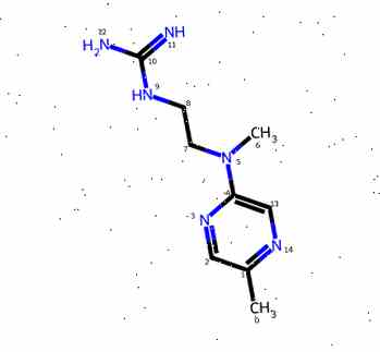 Cc1cnc(N(C)CCNC(=N)N)cn1